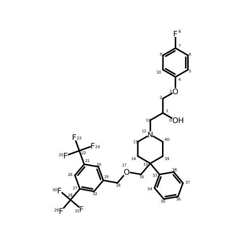 OC(COc1ccc(F)cc1)CN1CCC(COCc2cc(C(F)(F)F)cc(C(F)(F)F)c2)(c2ccccc2)CC1